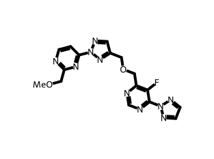 COCc1nccc(-n2ncc(COCc3ncnc(-n4nccn4)c3F)n2)n1